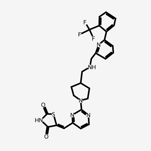 O=C1NC(=O)C(=Cc2ccnc(N3CCC(CNCc4cccc(-c5ccccc5C(F)(F)F)n4)CC3)n2)S1